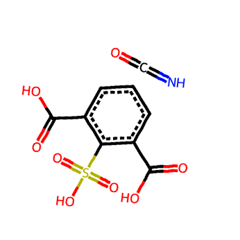 N=C=O.O=C(O)c1cccc(C(=O)O)c1S(=O)(=O)O